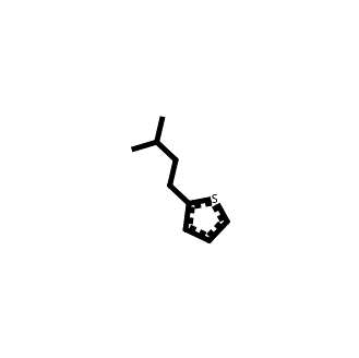 C[C](C)CCc1cccs1